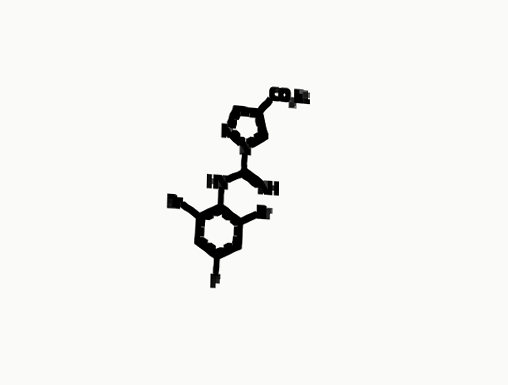 CCOC(=O)c1cnn(C(=N)Nc2c(Br)cc(F)cc2Br)c1